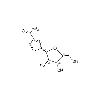 NC(=O)c1ncn([C@H]2O[C@@H](CO)[C@H](O)[C@H]2O)n1